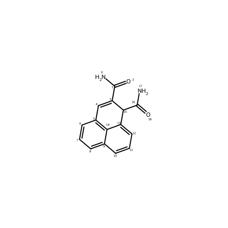 NC(=O)C1=Cc2cccc3cccc(c23)C1C(N)=O